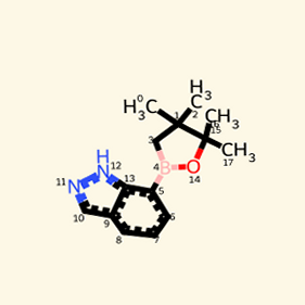 CC1(C)CB(c2cccc3cn[nH]c23)OC1(C)C